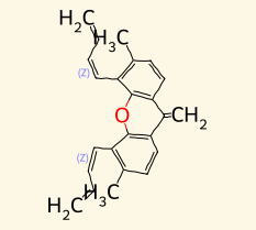 C=C/C=C\c1c(C)ccc2c1Oc1c(ccc(C)c1/C=C\C=C)C2=C